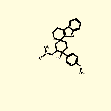 CSc1ccc(C2(O)CCC3(CC2CN(C)C)SCCc2c3[nH]c3ccccc23)cc1